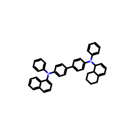 C1=CC(N(c2ccccc2)c2ccc(-c3ccc(N(c4ccccc4)c4cccc5ccccc45)cc3)cc2)C2CCCCC2=C1